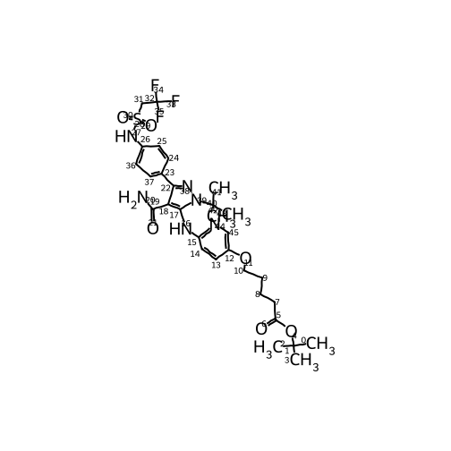 CC(C)(C)OC(=O)CCCCOc1ccc(Nc2c(C(N)=O)c(-c3ccc(NS(=O)(=O)CC(F)(F)F)cc3)nn2C(C)(C)C)nc1